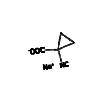 [C-]#[N+]C1(C(=O)[O-])CC1.[Na+]